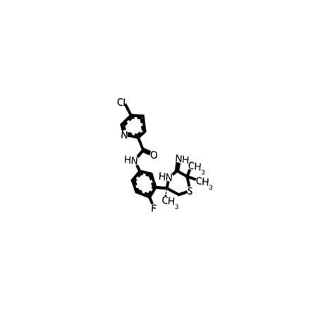 CC1(C)SC[C@@](C)(c2cc(NC(=O)c3ccc(Cl)cn3)ccc2F)NC1=N